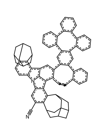 N#Cc1cc2c(c3c1C1CC4CC5CC3CC45C1)c1c3c4ccccc4c4ccccc4c4cc5c6ccccc6c6ccccc6c6ccccc6c5cc4c3cc3c4c5c(ccc4n2c31)C1CC2CC(C1)CC5C2